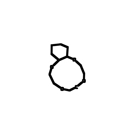 C1CCC2OCCOCCOCCOC2C1